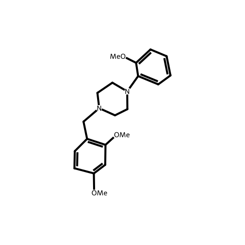 COc1ccc(CN2CCN(c3ccccc3OC)CC2)c(OC)c1